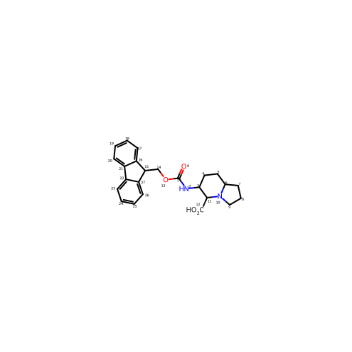 O=C(NC1CCC2CCCN2C1C(=O)O)OCC1c2ccccc2-c2ccccc21